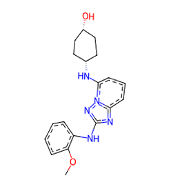 COc1ccccc1Nc1nc2cccc(N[C@H]3CC[C@@H](O)CC3)n2n1